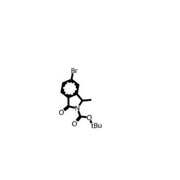 CC1c2cc(Br)ccc2C(=O)N1C(=O)OC(C)(C)C